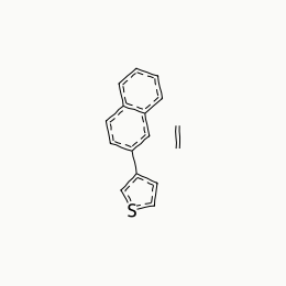 C=C.c1ccc2cc(-c3ccsc3)ccc2c1